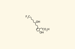 O=C(O)CC1C(CCC(O)CCCCC(F)(F)F)=CCC1O